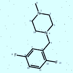 CN1CCN(Cc2cc(F)ccc2F)CC1